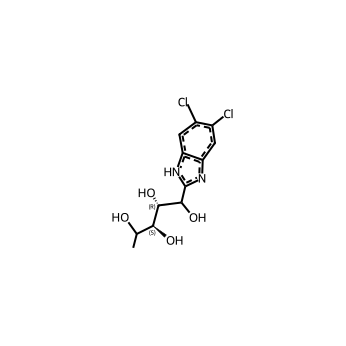 CC(O)[C@H](O)[C@H](O)C(O)c1nc2cc(Cl)c(Cl)cc2[nH]1